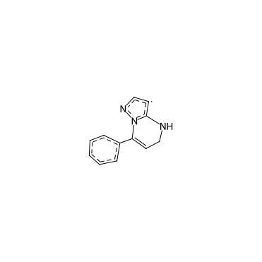 [c]1cnn2c1NCC=C2c1ccccc1